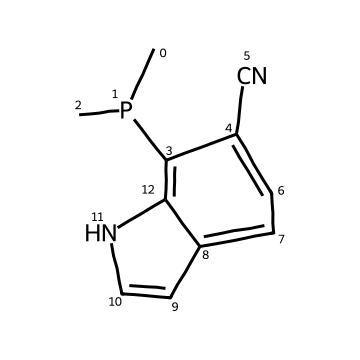 CP(C)c1c(C#N)ccc2cc[nH]c12